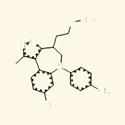 Cc1noc2c1-c1ccc(Cl)cc1N(c1ccc(C#N)cc1)CC2CCOC(C)(C)C